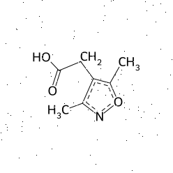 C=C(C(=O)O)c1c(C)noc1C